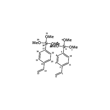 C=Cc1ccc([Si](OC)(OC)OC)cc1.C=Cc1ccc([Si](OC)(OC)OC)cc1